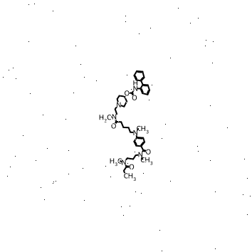 CCC(=O)N(C)CCCN(C)C(=O)c1ccc(N(C)CCCCC(=O)N(C)CCN2CCC(OC(=O)Nc3ccccc3-c3ccccc3)CC2)cc1